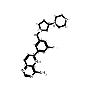 Nc1ncnc2ccc(-c3cc(F)cc(CN4CCC(N5CCOCC5)C4)c3)nc12